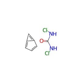 O=C(NCl)NCl.c1cc2cc-2c1